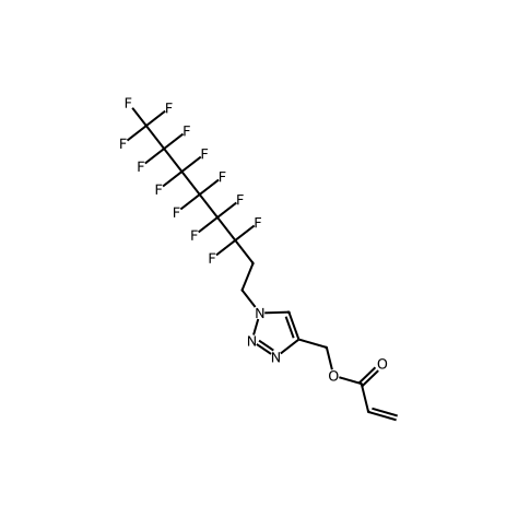 C=CC(=O)OCc1cn(CCC(F)(F)C(F)(F)C(F)(F)C(F)(F)C(F)(F)C(F)(F)F)nn1